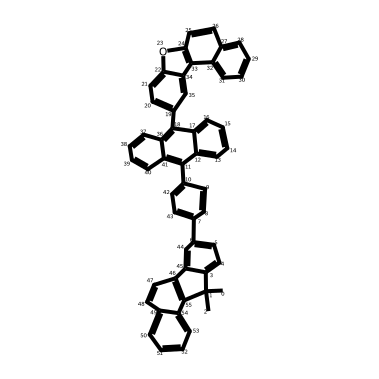 CC1(C)c2ccc(-c3ccc(-c4c5ccccc5c(-c5ccc6oc7ccc8ccccc8c7c6c5)c5ccccc45)cc3)cc2-c2ccc3ccccc3c21